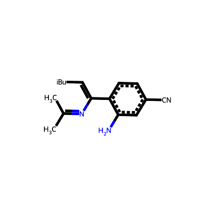 CCC(C)/C=C(\N=C(C)C)c1ccc(C#N)cc1N